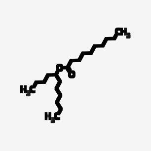 CCCCCCCCCC(=O)OC(CCCC)CCCCCC